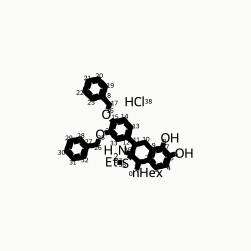 CCCCCCC1c2ccc(O)c(O)c2CC(c2ccc(OCc3ccccc3)c(OCc3ccccc3)c2)C1(N)SCC.Cl